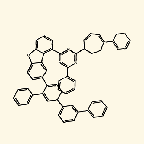 C1=CCCC(C2=CC=CC(c3nc(-c4ccccc4)nc(-c4cccc5oc6ccc(C7=CCC(c8cccc(-c9ccccc9)c8)C=C7c7ccccc7)cc6c45)n3)CC2)=C1